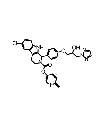 C=C(F)/C=C\C(=C/C)OC(=O)N1CCc2c([nH]c3ccc(Cl)cc23)C1c1ccc(OCC(O)Cn2nccn2)cc1